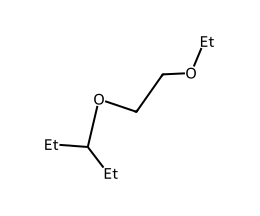 [CH2]CC(CC)OCCOCC